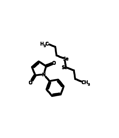 CCC[Se][Se]CCC.O=C1C=CC(=O)N1c1ccccc1